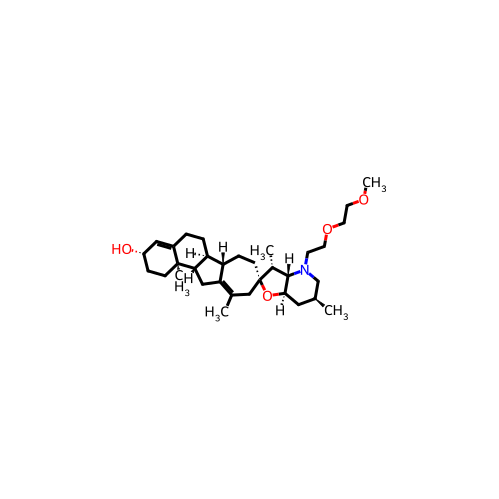 COCCOCCN1C[C@@H](C)C[C@H]2O[C@]3(CC[C@@H]4C(=C(C)C3)C[C@H]3[C@H]4CCC4=C[C@@H](O)CC[C@@]43C)[C@H](C)[C@@H]21